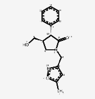 Cc1cc(CN2C[C@@H](CO)[C@H](c3ccccc3)C2=O)no1